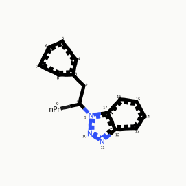 CCCC(Cc1ccccc1)n1nnc2ccccc21